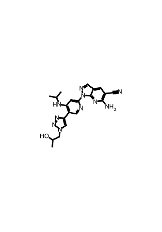 CC(O)Cn1cc(-c2cnc(-n3ncc4cc(C#N)c(N)nc43)cc2NC(C)C)nn1